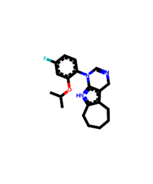 CC(C)Oc1cc(F)ccc1N1C=NCc2c1[nH]c1c2CCCCC1